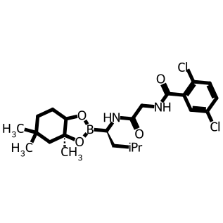 CC(C)C[C@H](NC(=O)CNC(=O)c1cc(Cl)ccc1Cl)B1OC2CCC(C)(C)C[C@]2(C)O1